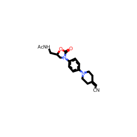 CC(=O)NCC1CN(c2ccc(N3CCC(=CC#N)CC3)cc2)C(=O)O1